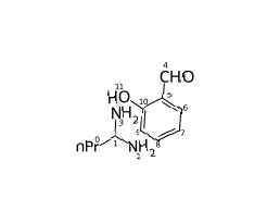 CCCC(N)N.O=Cc1ccccc1O